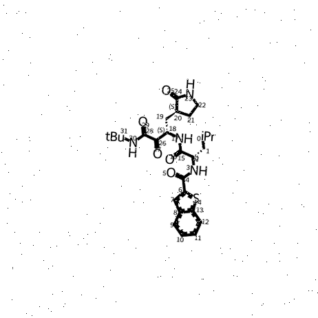 CC(C)C[C@H](NC(=O)c1cc2ccccc2s1)C(=O)N[C@@H](C[C@@H]1CCNC1=O)C(=O)C(=O)NC(C)(C)C